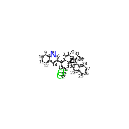 CC1=Cc2c(-c3cnc4ccccc4c3)cccc2[CH]1[Zr+2]1([CH]2C=Cc3ccccc32)[CH2][CH2]1.[Cl-].[Cl-]